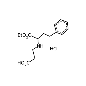 CCOC(=O)C(CCc1ccccc1)NCCC(=O)O.Cl